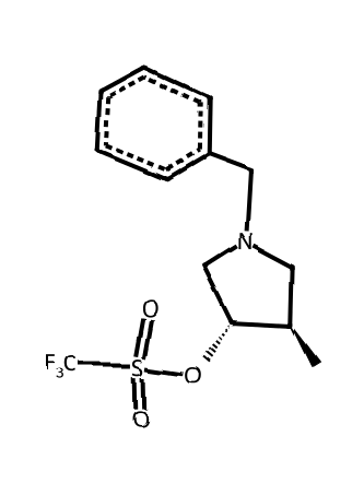 C[C@@H]1CN(Cc2ccccc2)C[C@H]1OS(=O)(=O)C(F)(F)F